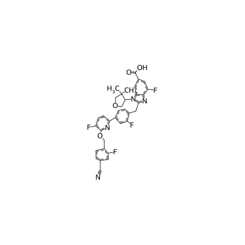 CC1(C)COCC1n1c(Cc2ccc(-c3ccc(F)c(OCc4ccc(C#N)cc4F)n3)cc2F)nc2c(F)cc(C(=O)O)cc21